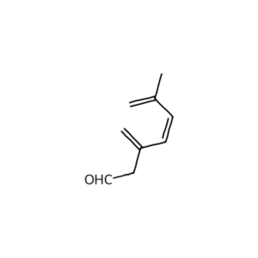 C=C(C)/C=C\C(=C)CC=O